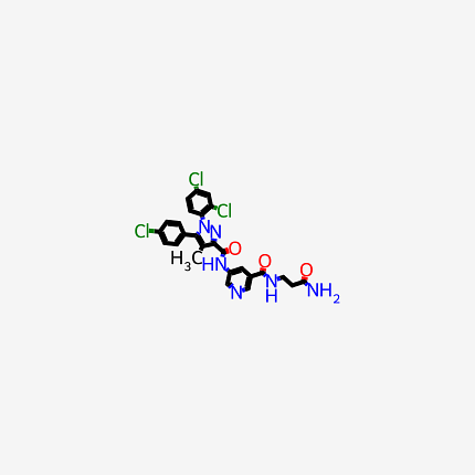 Cc1c(C(=O)Nc2cncc(C(=O)NCCC(N)=O)c2)nn(-c2ccc(Cl)cc2Cl)c1-c1ccc(Cl)cc1